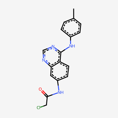 Cc1ccc(Nc2ncnc3cc(NC(=O)CCl)ccc23)cc1